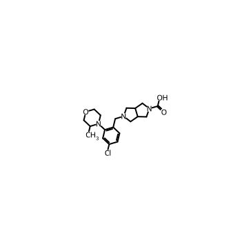 CC1COCCN1c1cc(Cl)ccc1CN1CC2CN(C(=O)O)CC2C1